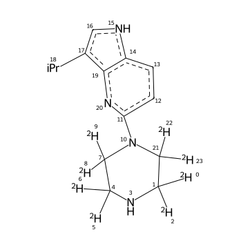 [2H]C1([2H])NC([2H])([2H])C([2H])([2H])N(c2ccc3[nH]cc(C(C)C)c3n2)C1([2H])[2H]